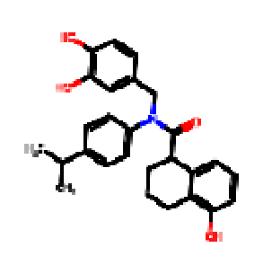 CC(C)c1ccc(N(Cc2ccc(O)c(O)c2)C(=O)C2CCCc3c(O)cccc32)cc1